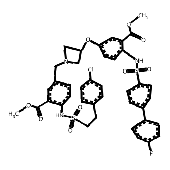 COC(=O)c1cc(CN2CC(Oc3ccc(NS(=O)(=O)c4ccc(-c5ccc(F)cc5)cc4)c(C(=O)OC)c3)C2)ccc1NS(=O)(=O)CCc1ccc(Cl)cc1